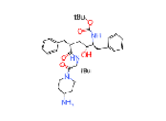 CC[C@H](C)[C@H](NC(=O)[C@@H](Cc1ccccc1)C[C@@H](O)[C@H](Cc1ccccc1)NC(=O)OC(C)(C)C)C(=O)N1CCC(N)CC1